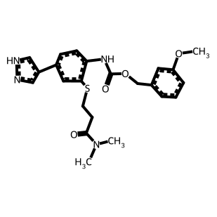 COc1cccc(COC(=O)Nc2ccc(-c3cn[nH]c3)cc2SCCC(=O)N(C)C)c1